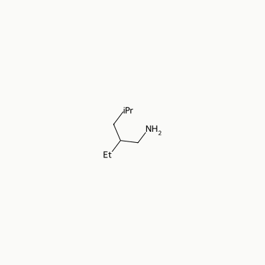 CCC(CN)CC(C)C